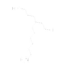 CCCCC(CCC)CCCCCCN